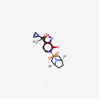 CC(C)(N)c1ccc(S(=O)(=O)N2[C@@H]3CC[C@H]2C[C@H](NC(=O)c2cc(C4CC4)on2)C3)cc1